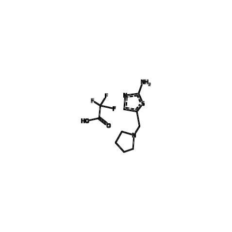 Nc1ncc(CN2CCCC2)s1.O=C(O)C(F)(F)F